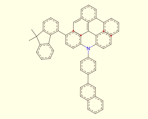 CC1(C)c2ccccc2-c2c(-c3ccc(N(c4ccc(-c5ccc6ccccc6c5)cc4)c4ccccc4C4=c5c(-c6ccccc6)cccc5=CCC4)cc3)cccc21